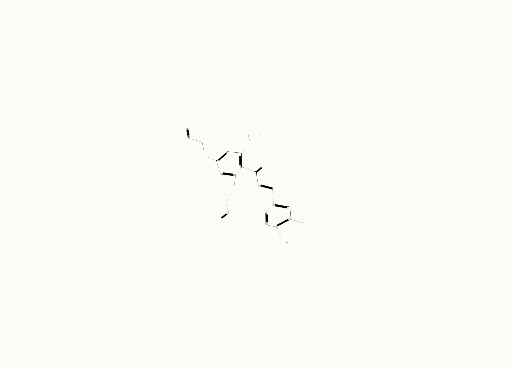 C=CCOc1cc(OC)c(C(=O)C=Cc2ccc(O)c(OC)c2)c(OCC=C)c1